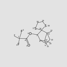 CC(F)(F)C(=O)OC1C2CCC(C)(C2(C)C)C12SCCS2